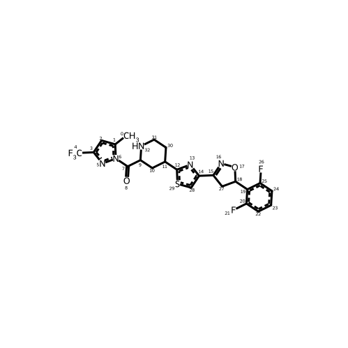 Cc1cc(C(F)(F)F)nn1C(=O)C1CC(c2nc(C3=NOC(c4c(F)cccc4F)C3)cs2)CCN1